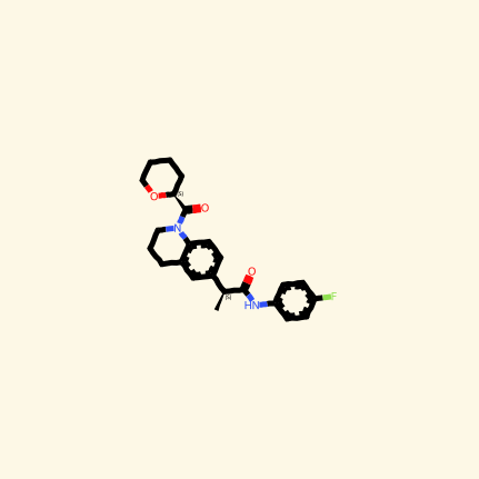 C[C@H](C(=O)Nc1ccc(F)cc1)c1ccc2c(c1)CCCN2C(=O)[C@@H]1CCCCO1